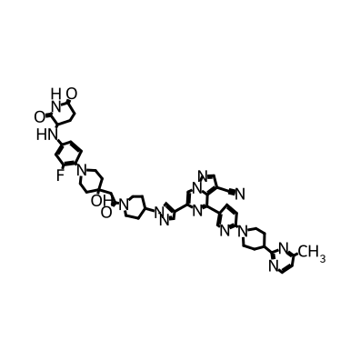 Cc1ccnc(C2CCN(c3ccc(-c4nc(-c5cnn(C6CCN(C(=O)CC7(O)CCN(c8ccc(NC9CCC(=O)NC9=O)cc8F)CC7)CC6)c5)cn5ncc(C#N)c45)cn3)CC2)n1